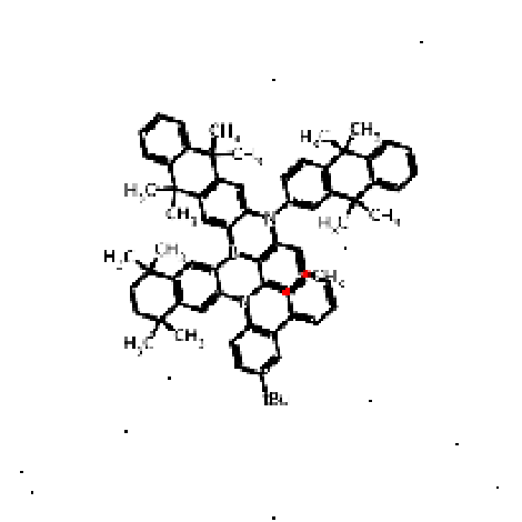 Cc1cc2c3c(c1)N(c1ccc(C(C)(C)C)cc1-c1ccccc1)c1cc4c(cc1B3c1cc3c(cc1N2c1ccc2c(c1)C(C)(C)c1ccccc1C2(C)C)C(C)(C)c1ccccc1C3(C)C)C(C)(C)CCC4(C)C